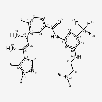 Cc1ccc(C(=O)Nc2cc(NCCN(C)C)cc(C(F)(F)F)c2)cc1N(N)/C=C(\N)c1cnn(C)c1C